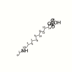 CCNCCCCCCCCCCCCOS(=O)(=O)O